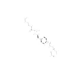 CCCCCC(=O)NC/C=C/c1ccc(OCCN2CCOCC2)cc1